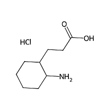 Cl.NC1CCCCC1CCC(=O)O